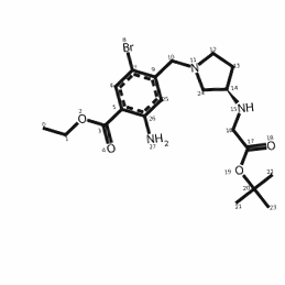 CCOC(=O)c1cc(Br)c(CN2CC[C@@H](NCC(=O)OC(C)(C)C)C2)cc1N